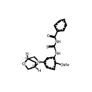 COc1ccc(N2C[C@@H]3C[C@H]2CO3)cc1NC(=S)NC(=O)c1ccccc1